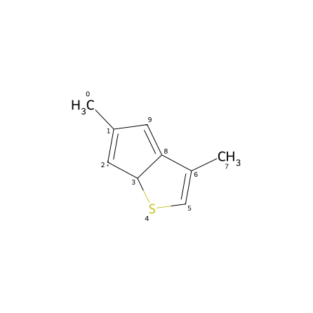 CC1=[C]C2SC=C(C)C2=C1